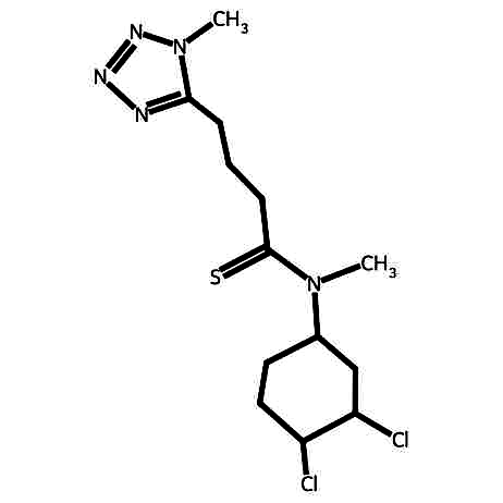 CN(C(=S)CCCc1nnnn1C)C1CCC(Cl)C(Cl)C1